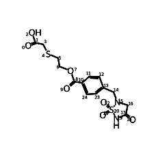 O=C(O)CSCCOC(=O)c1ccc(CN2CC(=O)NS2(=O)=O)cc1